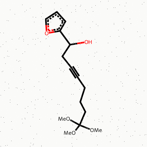 COC(CCCC#CCC(O)c1ccco1)(OC)OC